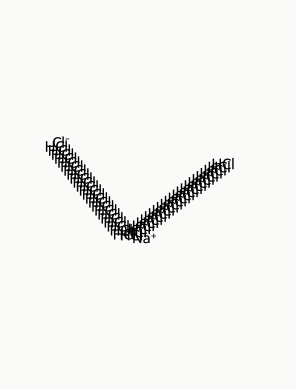 Cl.Cl.Cl.Cl.Cl.Cl.Cl.Cl.Cl.Cl.Cl.Cl.Cl.Cl.Cl.Cl.Cl.Cl.Cl.Cl.Cl.Cl.Cl.Cl.Cl.Cl.Cl.Cl.Cl.Cl.Cl.Cl.Cl.Cl.Cl.Cl.Cl.Cl.Cl.Cl.Cl.Cl.Cl.Cl.Cl.Cl.Cl.[Cl-].[Na+]